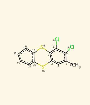 Cc1cc2c(c(Cl)c1Cl)Sc1ccccc1S2